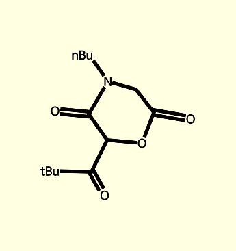 CCCCN1CC(=O)OC(C(=O)C(C)(C)C)C1=O